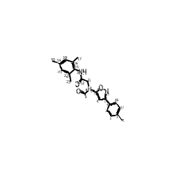 Cc1ccc(-c2cc(N(C=O)CC(=O)Nc3c(C)cc(C)cc3C)on2)cc1